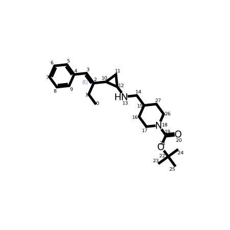 CC/C(=C\c1ccccc1)C1CC1NCC1CCN(C(=O)OC(C)(C)C)CC1